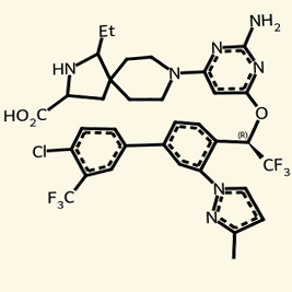 CCC1NC(C(=O)O)CC12CCN(c1cc(O[C@H](c3ccc(-c4ccc(Cl)c(C(F)(F)F)c4)cc3-n3ccc(C)n3)C(F)(F)F)nc(N)n1)CC2